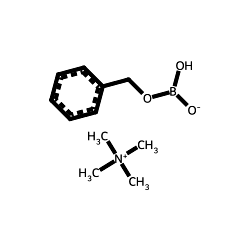 C[N+](C)(C)C.[O-]B(O)OCc1ccccc1